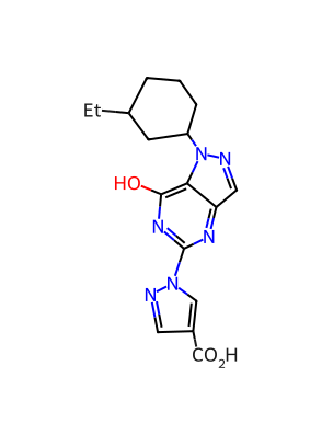 CCC1CCCC(n2ncc3nc(-n4cc(C(=O)O)cn4)nc(O)c32)C1